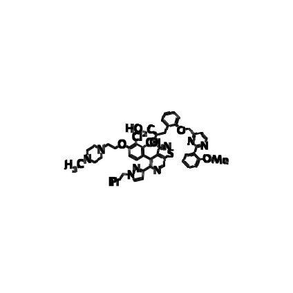 COc1ccccc1-c1nccc(COc2ccccc2C[C@@H](Oc2nsc3cnc(-c4ccn(CC(C)C)n4)c(-c4ccc(OCCN5CCN(C)CC5)c(Cl)c4C)c23)C(=O)O)n1